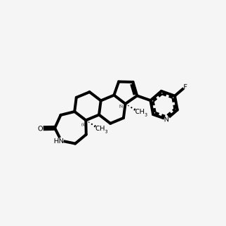 C[C@]12CCNC(=O)CC1CCC1C2CC[C@]2(C)C(c3cncc(F)c3)=CCC12